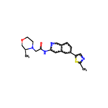 Cc1ncc(-c2ccc3cnc(NC(=O)CN4CCOCC4C)cc3c2)s1